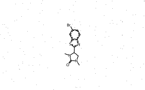 CN1CC(c2nc3ccc(Br)cc3s2)N(C)C1=O